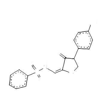 Cc1ccc(C2CO/C(=C/NS(=O)(=O)c3ccccc3)C2=O)cc1